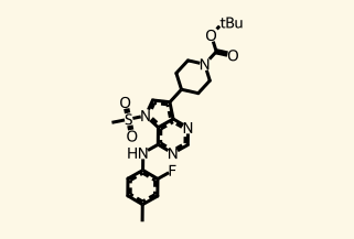 Cc1ccc(Nc2ncnc3c(C4CCN(C(=O)OC(C)(C)C)CC4)cn(S(C)(=O)=O)c23)c(F)c1